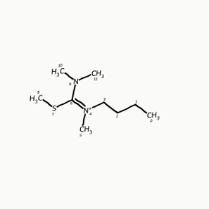 CCCC/[N+](C)=C(/SC)N(C)C